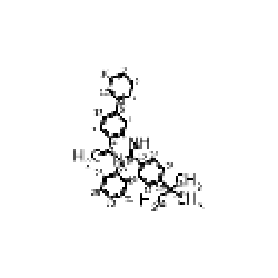 C=C(c1ccc(-c2ccccc2)cc1)N(C(=N)c1ccc(C(C)(C)C)cc1)c1ccccc1